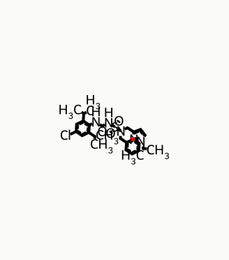 CC(C)c1cc(Cl)cc(C(C)C)c1NC(=O)NS(=O)(=O)N(Cc1ccccc1)Cc1ccn(C(C)C)n1